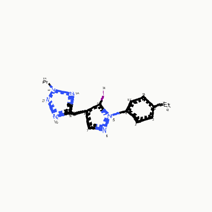 CCc1ccc(-n2ncc(-c3nnn(C(C)C)n3)c2I)cc1